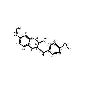 COc1ccc(CC(Cc2ccc(OC)cc2)C(C)Cl)cc1